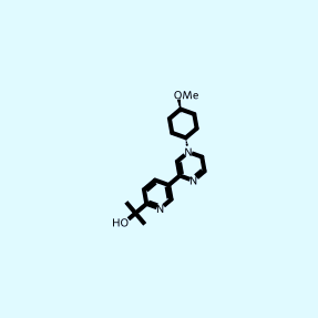 CO[C@H]1CC[C@H](N2C=C(c3ccc(C(C)(C)O)nc3)N=CC2)CC1